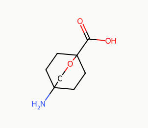 NC12CCC(C(=O)O)(CC1)OC2